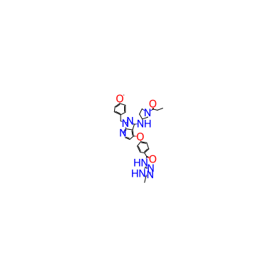 CCC(=O)N1CC[C@@H](Nc2nn(Cc3ccc(OC)cc3)c3nccc(Oc4ccc(C(=O)Nc5nnc(C)[nH]5)cc4)c23)C1